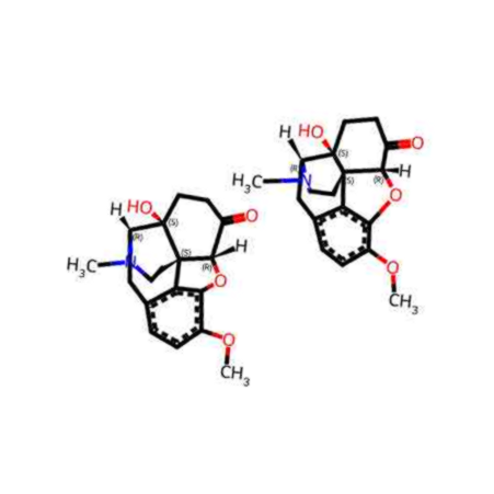 COc1ccc2c3c1O[C@H]1C(=O)CC[C@@]4(O)[C@@H](C2)N(C)CC[C@]314.COc1ccc2c3c1O[C@H]1C(=O)CC[C@@]4(O)[C@@H](C2)N(C)CC[C@]314